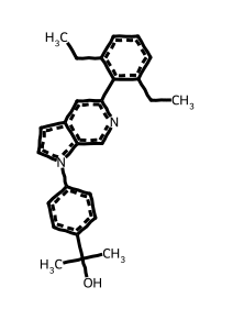 CCc1cccc(CC)c1-c1cc2ccn(-c3ccc(C(C)(C)O)cc3)c2cn1